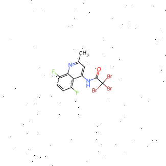 Cc1cc(NC(=O)C(Br)(Br)Br)c2c(F)ccc(F)c2n1